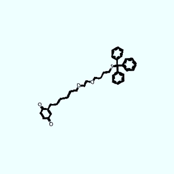 O=C1C=CC(=O)C(CCCCCCOCCOCCCCSC(c2ccccc2)(c2ccccc2)c2ccccc2)=C1